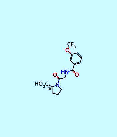 O=C(NCC(=O)N1CCC[C@H]1C(=O)O)c1cccc(OC(F)(F)F)c1